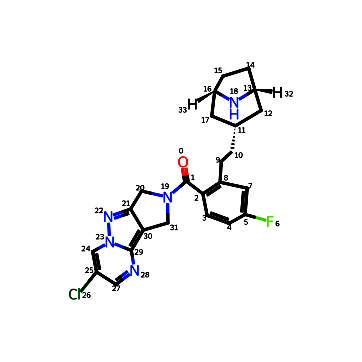 O=C(c1ccc(F)cc1CC[C@H]1C[C@H]2CC[C@@H](C1)N2)N1Cc2nn3cc(Cl)cnc3c2C1